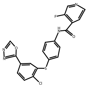 O=C(Nc1ccc(Sc2cc(-c3nnco3)ccc2Cl)cc1)c1ccncc1F